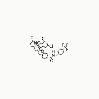 O=C(NCc1ccc(C(F)(F)F)cc1)c1ccc(CN(Cc2ccc(F)cc2)S(=O)(=O)c2cc(Cl)cc(Cl)c2O)cc1